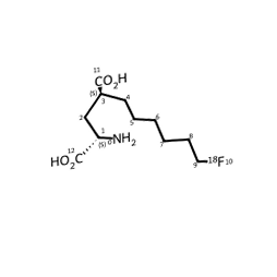 N[C@@H](C[C@H](CCCCCC[18F])C(=O)O)C(=O)O